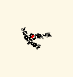 CC(=O)Nc1ccc(C=CC(=O)N(Cc2ccc(N3CCN(C(C)=O)CC3)cc2)C(Cc2ccccc2)C(=O)N2CCN(Cc3ccc(N(C)CCO[Si](C)(C)C(C)(C)C)cc3)CC2)cc1